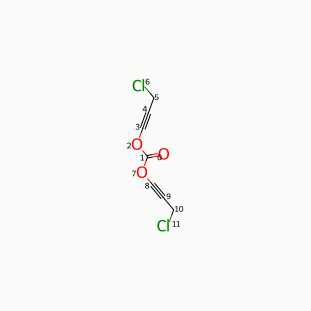 O=C(OC#CCCl)OC#CCCl